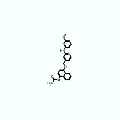 COc1cncc(Nc2cc(COc3ccc(NC(N)=O)c4ccccc34)ccn2)n1